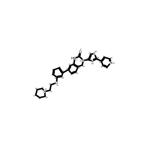 O=C1Nc2cc(-c3cccc(OCCN4CCCCC4)c3)ccc2CN1c1csc(-c2ccncc2)n1